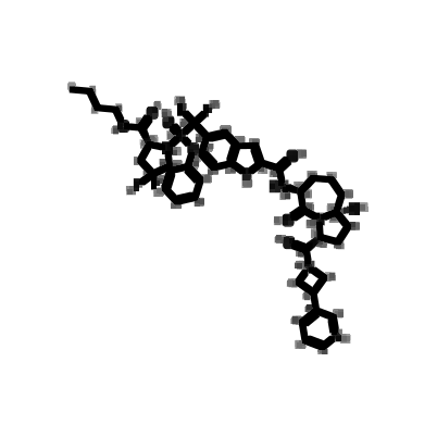 CCCCOC(=O)[C@@H]1CC(F)(F)CN1P(=O)(Oc1ccccc1)C(F)(F)c1ccc2sc(C(=O)N[C@H]3CCC[C@H]4CC[C@@H](C(=O)N5CC(c6cccnc6)C5)N4C3=O)cc2c1